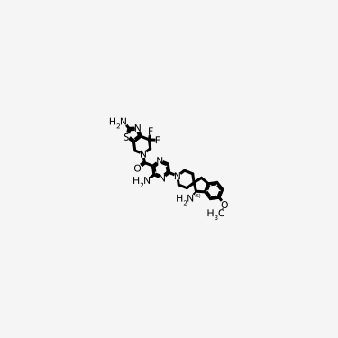 COc1ccc2c(c1)[C@@H](N)C1(CCN(c3cnc(C(=O)N4Cc5sc(N)nc5C(F)(F)C4)c(N)n3)CC1)C2